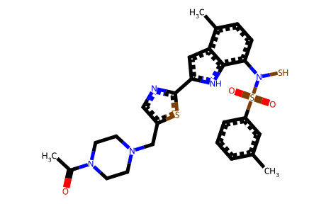 CC(=O)N1CCN(Cc2cnc(-c3cc4c(C)ccc(N(S)S(=O)(=O)c5cccc(C)c5)c4[nH]3)s2)CC1